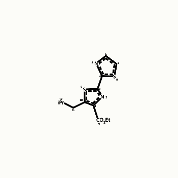 CCOC(=O)c1nc(-c2nccs2)sc1CC(C)C